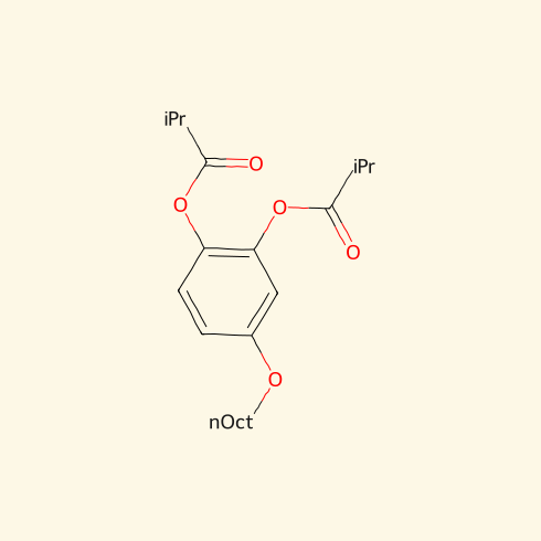 CCCCCCCCOc1ccc(OC(=O)C(C)C)c(OC(=O)C(C)C)c1